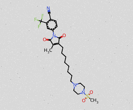 CC1=C(CCCCCCCCN2CCN(S(C)(=O)=O)CC2)C(=O)N(c2ccc(C#N)c(C(F)(F)F)c2)C1=O